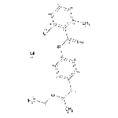 CCOC(C)Oc1ccc(PC(=O)c2c(C)cccc2Cl)cc1.[LiH]